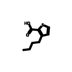 CCCCc1ccsc1C(=O)O